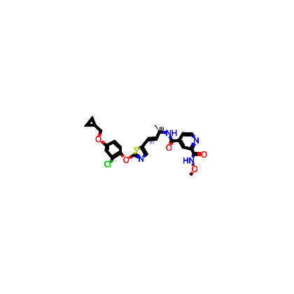 CONC(=O)c1cc(C(=O)N[C@@H](C)/C=C/c2cnc(Oc3ccc(OCC4CC4)cc3Cl)s2)ccn1